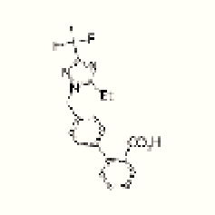 CCc1nc(C(C)(F)F)nn1Cc1ccc(-c2ccccc2C(=O)O)cc1